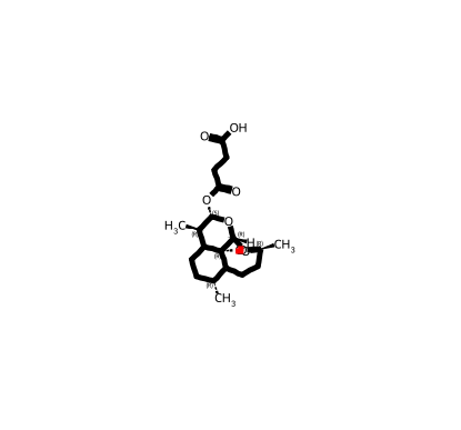 C[C@@H]1CCC2[C@@H](C)[C@H](OC(=O)CCC(=O)O)O[C@@H]3O[C@@]4(C)CCC1[C@@]23OO4